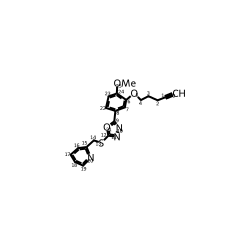 C#CCCCOc1cc(-c2nnc(SCc3ccccn3)o2)ccc1OC